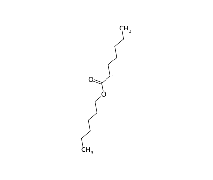 CCCCC[CH]C(=O)OCCCCCC